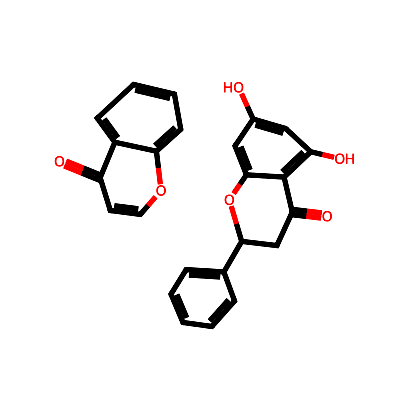 O=C1CC(c2ccccc2)Oc2cc(O)cc(O)c21.O=c1ccoc2ccccc12